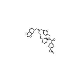 Cc1ccc(C(=O)NCc2ccc(CN(CCSc3ccccc3)Cc3ccc4c(c3)OCO4)cc2)cc1